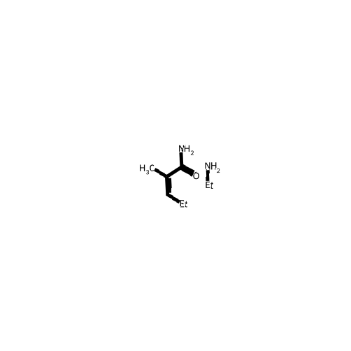 CCC=C(C)C(N)=O.CCN